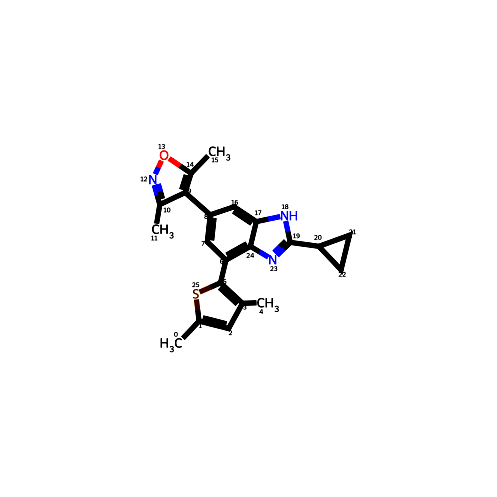 Cc1cc(C)c(-c2cc(-c3c(C)noc3C)cc3[nH]c(C4CC4)nc23)s1